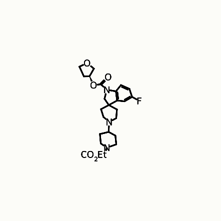 CCOC(=O)N1CCC(N2CCC3(CC2)CN(C(=O)O[C@H]2CCOC2)c2ccc(F)cc23)CC1